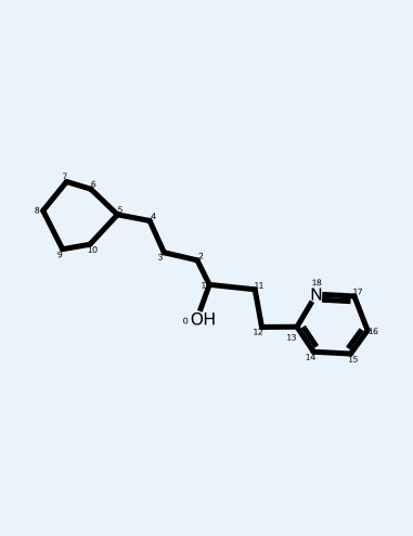 OC(CCCC1CCCCC1)CCc1ccccn1